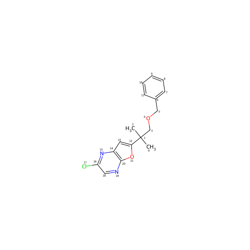 CC(C)(COCc1ccccc1)c1cc2nc(Cl)cnc2o1